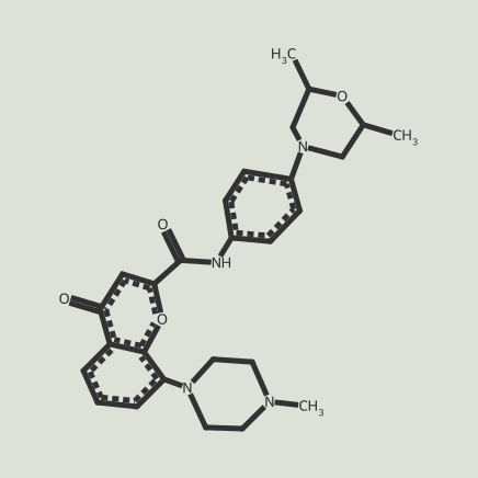 CC1CN(c2ccc(NC(=O)c3cc(=O)c4cccc(N5CCN(C)CC5)c4o3)cc2)CC(C)O1